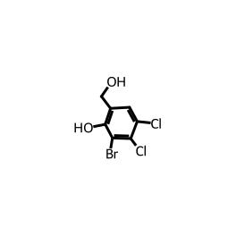 OCc1cc(Cl)c(Cl)c(Br)c1O